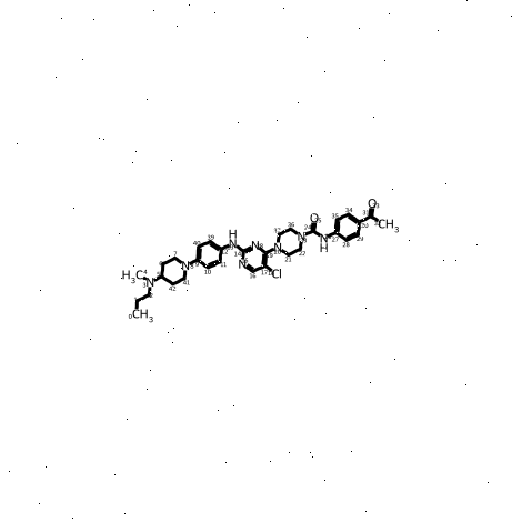 CCCN(C)C1CCN(c2ccc(Nc3ncc(Cl)c(N4CCN(C(=O)Nc5ccc(C(C)=O)cc5)CC4)n3)cc2)CC1